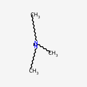 CCCCCCCCCCCCCCCN1C=CN(CCCCCCCCCCCCC)C1CCCCCCCC